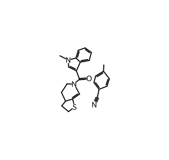 Cc1ccc(C#N)cc1.Cn1cc(C(=O)N2C=C3SCCC3CC2)c2ccccc21